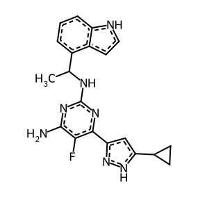 CC(Nc1nc(N)c(F)c(-c2cc(C3CC3)[nH]n2)n1)c1cccc2[nH]ccc12